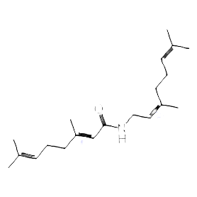 CC(C)=CCC/C(C)=C\CNC(=O)/C=C(\C)CCC=C(C)C